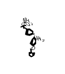 CC(C)(Cc1ccc(Sc2ccc(OCc3ccccc3)cc2N)cc1)OC(N)=O